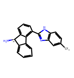 N[C@@H]1c2ccccc2-c2c(-c3nc4cc(C(F)(F)F)ccc4[nH]3)cccc21